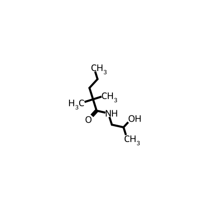 CCCC(C)(C)C(=O)NCC(C)O